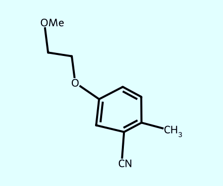 COCCOc1ccc(C)c(C#N)c1